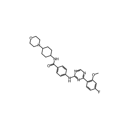 COc1cc(F)ccc1-c1ncnc(Nc2ccc(C(=O)NC3CCC(N4CCOCC4)CC3)cc2)n1